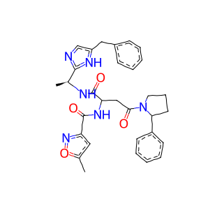 Cc1cc(C(=O)NC(CC(=O)N2CCCC2c2ccccc2)C(=O)N[C@@H](C)c2ncc(Cc3ccccc3)[nH]2)no1